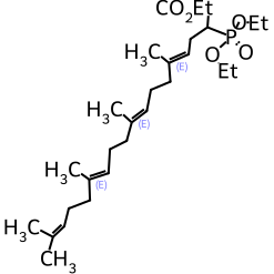 CCOC(=O)C(C/C=C(\C)CC/C=C(\C)CC/C=C(\C)CCC=C(C)C)P(=O)(OCC)OCC